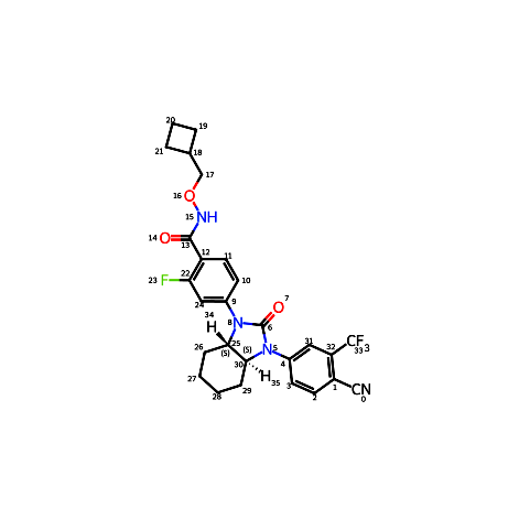 N#Cc1ccc(N2C(=O)N(c3ccc(C(=O)NOCC4CCC4)c(F)c3)[C@H]3CCCC[C@@H]32)cc1C(F)(F)F